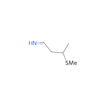 CSC(C)CC=N